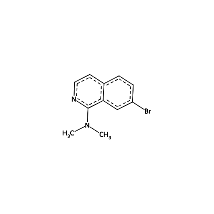 CN(C)c1nccc2ccc(Br)cc12